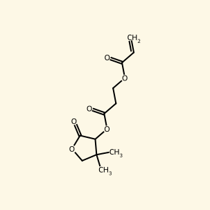 C=CC(=O)OCCC(=O)OC1C(=O)OCC1(C)C